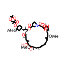 CO[C@H]1C[C@@H]2CC[C@@H](C)[C@@](O)(O2)C(=O)C(=O)N2CCCC(C2)C(=O)O[C@H]([C@H](C)C[C@@H]2CC[C@@H](OC(=O)C3(C)COC(C)(C)OC3)[C@H](OC)C2)CC(=O)[C@H](C)/C=C(\C)[C@@H](O)[C@@H](OC)C(=O)[C@H](C)C[C@H](C)/C=C/C=C/C=C/1C